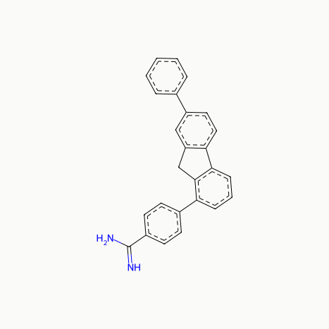 N=C(N)c1ccc(-c2cccc3c2Cc2cc(-c4ccccc4)ccc2-3)cc1